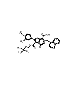 COc1ccc(-c2sc3c(C(=O)O)c(Cc4cccc5ccccc45)cc(=O)n3c2C(=O)OCC[Si](C)(C)C)cc1C